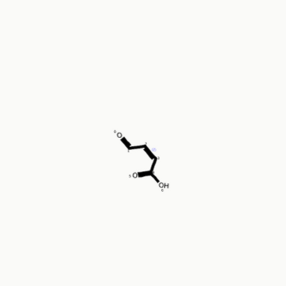 O=C/C=C\C(=O)O